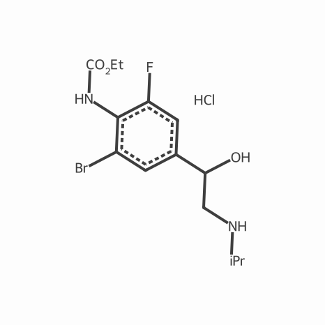 CCOC(=O)Nc1c(F)cc(C(O)CNC(C)C)cc1Br.Cl